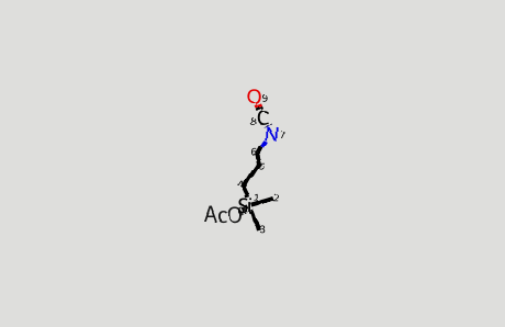 CC(=O)O[Si](C)(C)CCCN=C=O